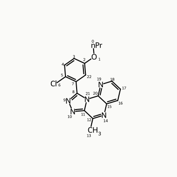 CCCOc1ccc(Cl)c(-c2nnc3c(C)nc4cccnc4n23)c1